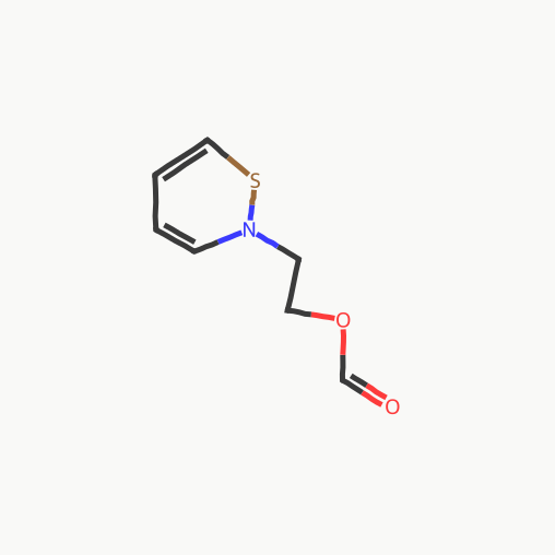 O=COCCN1C=CC=CS1